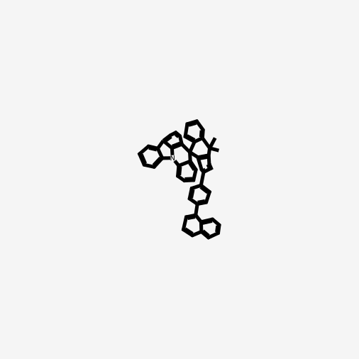 CC1(C)c2ccccc2C2(c3ccccc3-n3c4ccccc4c4cccc2c43)c2cc(-c3ccc(-c4cccc5ccccc45)cc3)ccc21